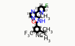 CC(NC(=O)c1cc(C(F)(F)F)cc(C(C)(C)C#N)c1)c1nccnc1-c1ccc(F)cn1